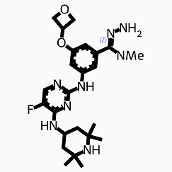 CN/C(=N\N)c1cc(Nc2ncc(F)c(NC3CC(C)(C)NC(C)(C)C3)n2)cc(OC2COC2)c1